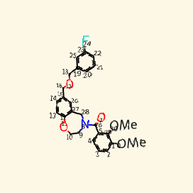 COc1cccc(C(=O)N2CCOc3ccc(COCc4cccc(F)c4)cc3C2)c1OC